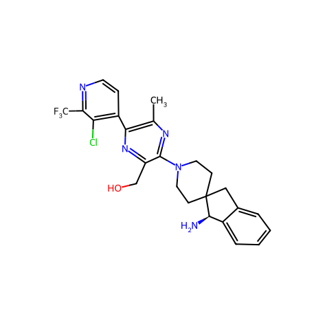 Cc1nc(N2CCC3(CC2)Cc2ccccc2[C@H]3N)c(CO)nc1-c1ccnc(C(F)(F)F)c1Cl